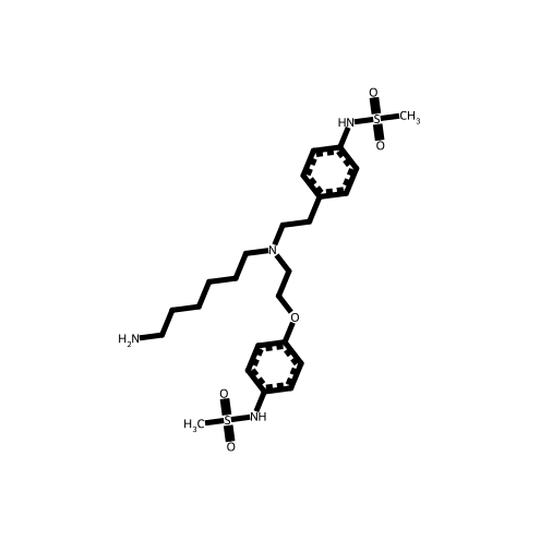 CS(=O)(=O)Nc1ccc(CCN(CCCCCCN)CCOc2ccc(NS(C)(=O)=O)cc2)cc1